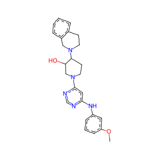 COc1cccc(Nc2cc(N3CCC(N4CCc5ccccc5C4)C(O)C3)ncn2)c1